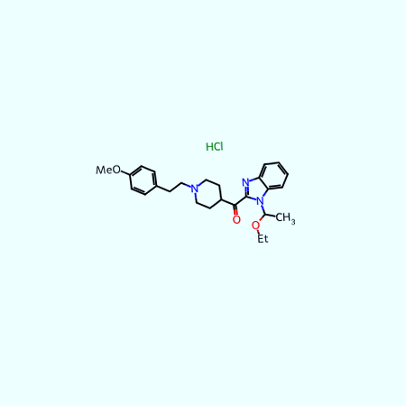 CCOC(C)n1c(C(=O)C2CCN(CCc3ccc(OC)cc3)CC2)nc2ccccc21.Cl